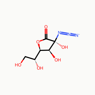 [N-]=[N+]=N[C@]1(O)C(=O)O[C@H]([C@H](O)CO)[C@@H]1O